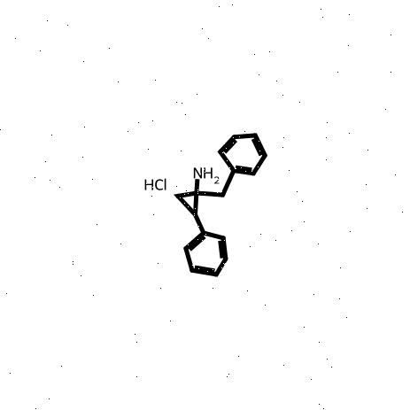 Cl.NC1(Cc2ccccc2)CC1c1ccccc1